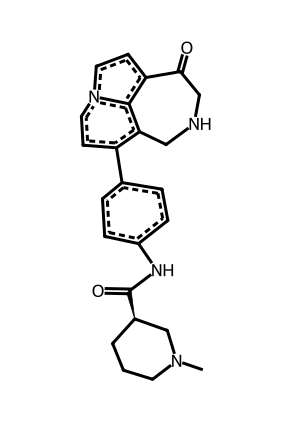 CN1CCC[C@@H](C(=O)Nc2ccc(-c3ccn4ccc5c4c3CNCC5=O)cc2)C1